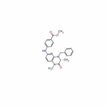 COC(=O)c1ccc(Nc2ccc3c(n2)N(Cc2ccccc2)[C@H](C)C(=O)N3C)cc1